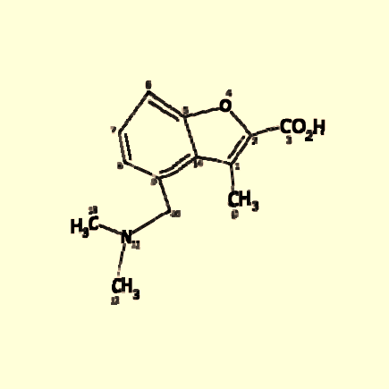 Cc1c(C(=O)O)oc2cccc(CN(C)C)c12